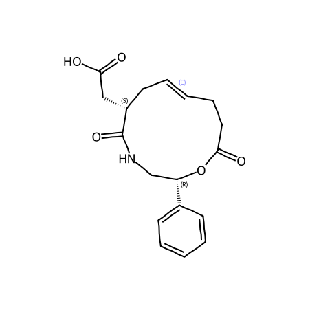 O=C(O)C[C@@H]1C/C=C/CCC(=O)O[C@H](c2ccccc2)CNC1=O